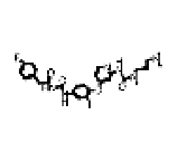 CN(C)CCCN(C)C(=O)Nc1cc(Oc2ccc(NC(=O)NC(=O)Cc3ccc(F)cc3)cc2F)ccn1